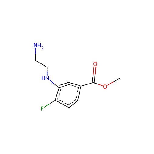 COC(=O)c1ccc(F)c(NCCN)c1